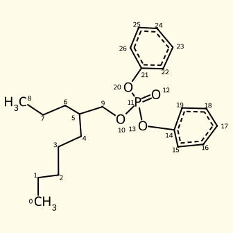 CCCCCC(CCC)COP(=O)(Oc1ccccc1)Oc1ccccc1